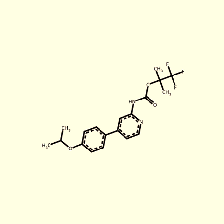 CC(C)Oc1ccc(-c2ccnc(NC(=O)OC(C)(C)C(F)(F)F)c2)cc1